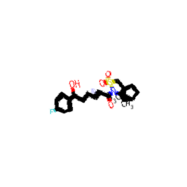 CC1(C)C2CCC13CS(=O)(=O)N(C(=O)/C=C/CCC(O)c1ccc(F)cc1)C3C2